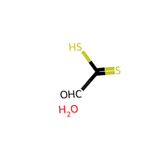 O.O=CC(=S)S